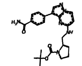 CC(C)(C)OC(=O)N1CCCC1CNc1ccn2ncc(-c3ccc(C(N)=O)cc3)c2n1